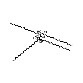 CCCCCCCCCCCCCCCCCCC(O)[C@](O)(CCCCCCCCCCCCCCCCCC)[C@@H](O)[C@H](O)[C@@](O)(CCCCCCCCCCCCCCCCCC)C(O)CCCCCCCCCCCCCCCCCC